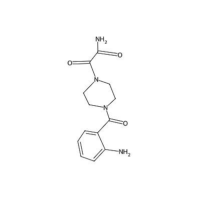 NC(=O)C(=O)N1CCN(C(=O)c2ccccc2N)CC1